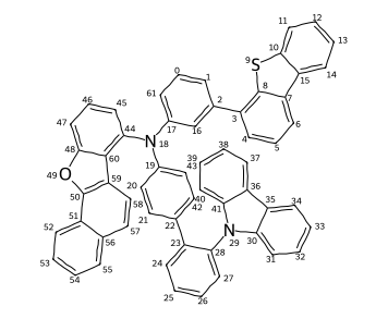 c1cc(-c2cccc3c2sc2ccccc23)cc(N(c2ccc(-c3ccccc3-n3c4ccccc4c4ccccc43)cc2)c2cccc3oc4c5ccccc5ccc4c23)c1